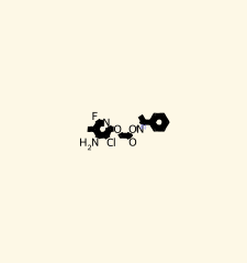 C/C(=N\OC(=O)COc1nc(F)c(C)c(N)c1Cl)c1ccccc1